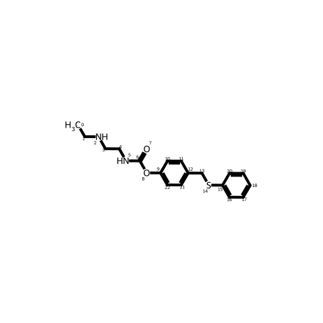 CCNCCNC(=O)Oc1ccc(CSc2ccccc2)cc1